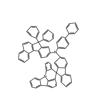 c1ccc(-c2ccc(N(c3ccc4c(c3)C(c3ccccc3)(c3ccccc3)c3ccc5ccccc5c3-4)c3ccc4c(c3)C3(c5ccccc5-4)c4ccccc4-n4c5ccccc5c5cccc3c54)cc2)cc1